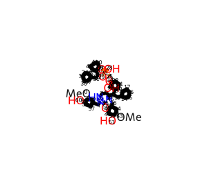 COc1cc(CN2NCC(O)C(C(Cc3ccccc3)c3cccc(OCP(=O)(O)OC(Cc4ccccc4)c4ccccc4)c3)N(Cc3ccc(O)c(OC)c3)C2=O)ccc1O